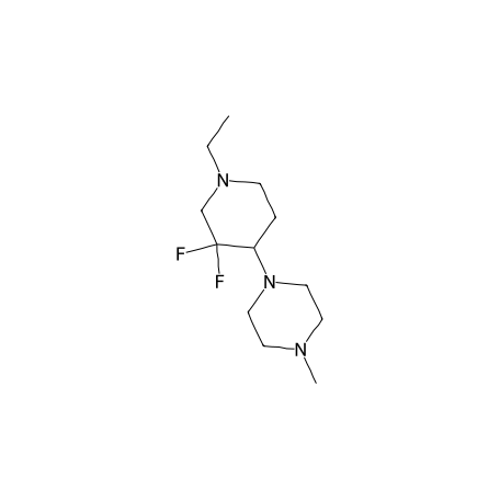 CCN1CCC(N2CCN(C)CC2)C(F)(F)C1